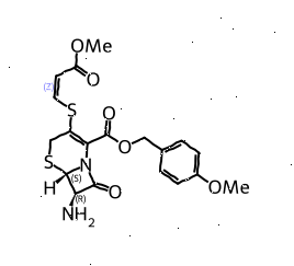 COC(=O)/C=C\SC1=C(C(=O)OCc2ccc(OC)cc2)N2C(=O)[C@@H](N)[C@@H]2SC1